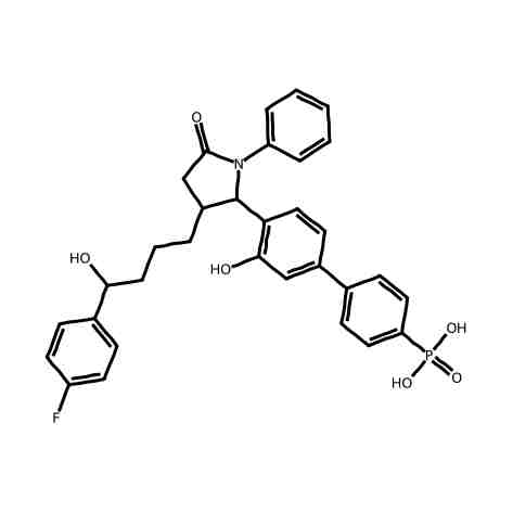 O=C1CC(CCCC(O)c2ccc(F)cc2)C(c2ccc(-c3ccc(P(=O)(O)O)cc3)cc2O)N1c1ccccc1